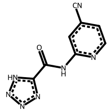 N#Cc1ccnc(NC(=O)c2nnn[nH]2)c1